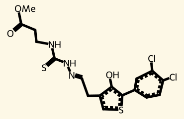 COC(=O)CCNC(=S)NN=CCc1csc(-c2ccc(Cl)c(Cl)c2)c1O